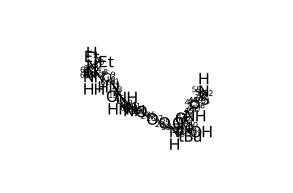 CCC(CC)C1CC(N[C@H]2CCC(CNCC(=O)NCC3CN(CCOCCOCCOCCN[C@H](C(=O)N4C[C@H](O)C[C@H]4C(=O)NCc4ccc(C5SCNC5C)cc4)C(C)(C)C)NN3)C2)N2NCCC2N1